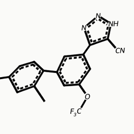 Cc1cc(F)ccc1-c1cc(OC(F)(F)F)cc(-c2nn[nH]c2C#N)c1